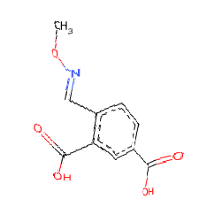 CON=Cc1ccc(C(=O)O)cc1C(=O)O